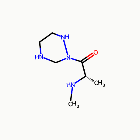 CN[C@@H](C)C(=O)N1CNCCN1